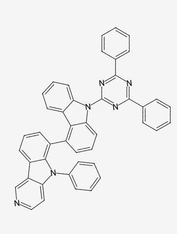 c1ccc(-c2nc(-c3ccccc3)nc(-n3c4ccccc4c4c(-c5cccc6c7cnccc7n(-c7ccccc7)c56)cccc43)n2)cc1